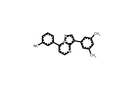 Cc1cc(C)cc(-c2cnn3c(-c4cccc(C#N)c4)ccnc23)c1